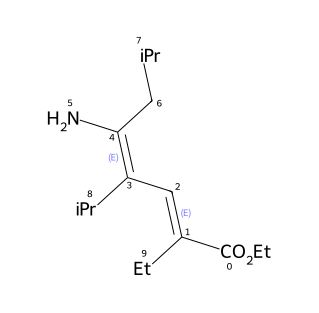 CCOC(=O)/C(=C/C(=C(/N)CC(C)C)C(C)C)CC